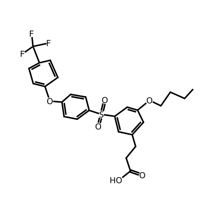 CCCCOc1cc(CCC(=O)O)cc(S(=O)(=O)c2ccc(Oc3ccc(C(F)(F)F)cc3)cc2)c1